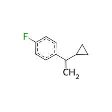 C=C(c1ccc(F)cc1)C1CC1